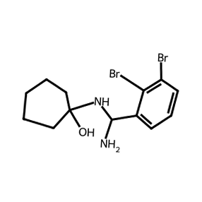 NC(NC1(O)CCCCC1)c1cccc(Br)c1Br